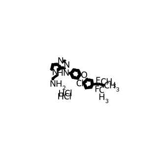 CC(C)(C)C(F)(F)c1cccc(Oc2ccc(Nc3ncnc4ccn(CCN)c34)cc2Cl)c1.Cl.Cl